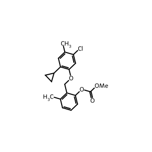 COC(=O)Oc1cccc(C)c1COc1cc(Cl)c(C)cc1C1CC1